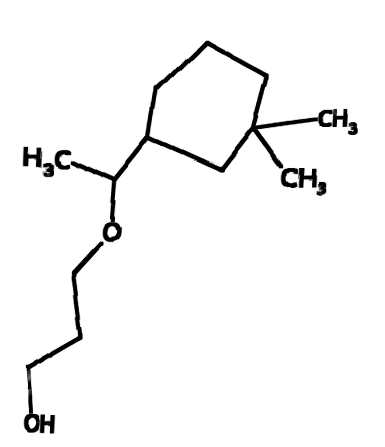 CC(OCCCO)C1CCCC(C)(C)C1